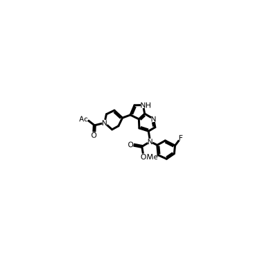 COC(=O)N(c1cccc(F)c1)c1cnc2[nH]cc(C3=CCN(C(=O)C(C)=O)CC3)c2c1